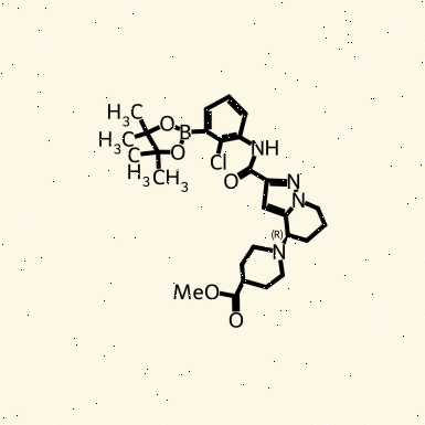 COC(=O)C1CCN([C@@H]2CCCn3nc(C(=O)Nc4cccc(B5OC(C)(C)C(C)(C)O5)c4Cl)cc32)CC1